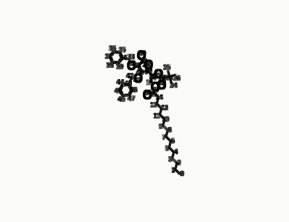 CCCCCCCCCCCCCCCC(=O)OC[C@H](OC(=O)C(C)(C)C)[C@H]1OC(=O)C(OCc2ccccc2)=C1OCc1ccccc1